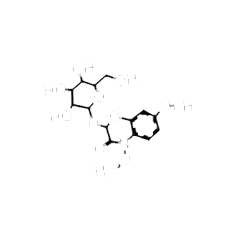 COc1ccc2c(c1)OC(OC1OC(CO)C(O)C(O)C1O)C(=O)N2OC